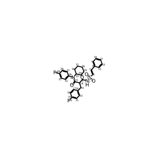 O=C(NS(=O)(=O)/C=C/c1ccccc1)C(Cc1ccc(F)cc1)C(=O)N(c1ccc(F)cc1)C1CCCCC1